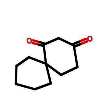 O=C1CCC2(CCCCC2)C(=O)C1